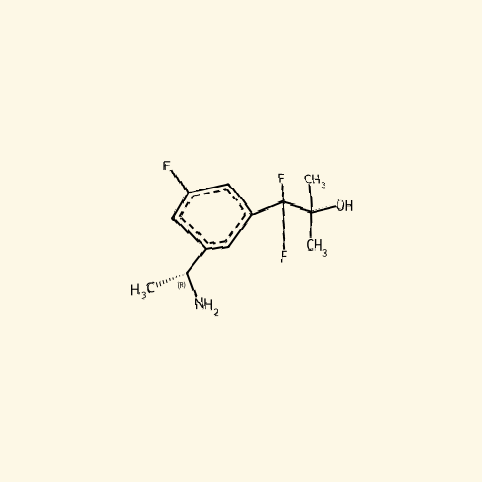 C[C@@H](N)c1cc(F)cc(C(F)(F)C(C)(C)O)c1